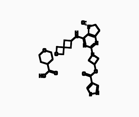 O=C(O)C1CCOCC1.O=C(OC1CN(c2nc3c(c(NC4CC5(COC5)C4)n2)[S@+]([O-])CC3)C1)c1cnsc1